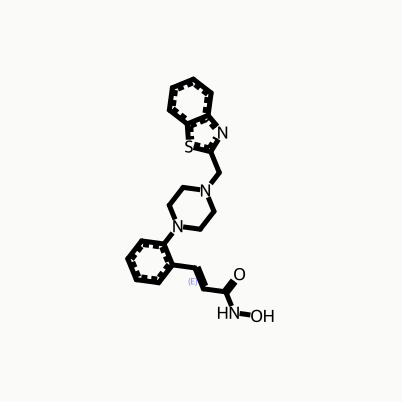 O=C(/C=C/c1ccccc1N1CCN(Cc2nc3ccccc3s2)CC1)NO